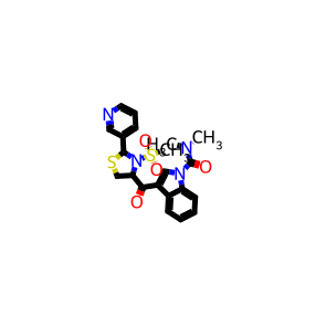 CN(C)C(=O)n1cc(C(=O)C2CSC(c3cccnc3)N2S(C)(=O)=O)c2ccccc21